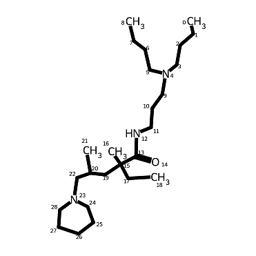 CCCCN(CCCC)CCCNC(=O)C(C)(CC)CC(C)CN1CCCCC1